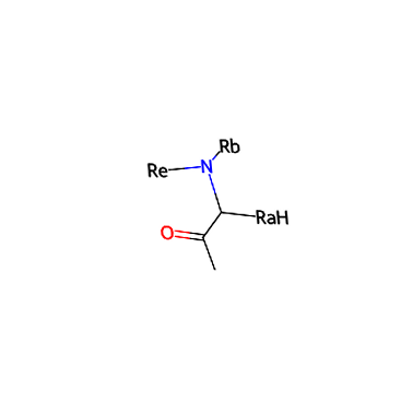 CC(=O)[CH]([RaH])[N]([Rb])[Re]